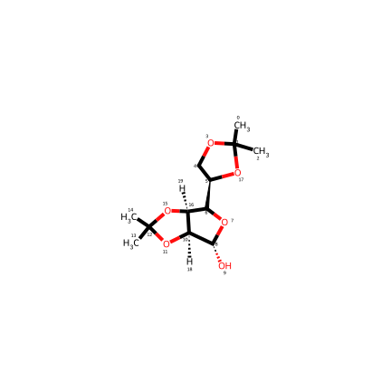 CC1(C)OC[C@H](C2O[C@H](O)[C@H]3OC(C)(C)O[C@@H]23)O1